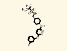 CC(C)S(=O)(=O)NC[C@H]1CC[C@H](Nc2ccc(Oc3cccc(F)c3)nn2)CC1